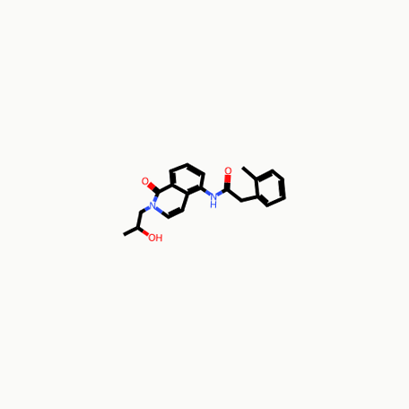 Cc1ccccc1CC(=O)Nc1cccc2c(=O)n(CC(C)O)ccc12